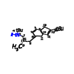 C[C@H](CNC(C)(C)C)Cc1ccc2c(c1)C=C(C(C)(C)C)C2